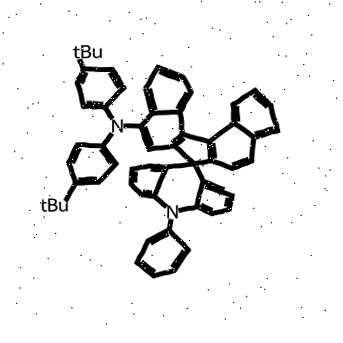 CC(C)(C)c1ccc(N(c2ccc(C(C)(C)C)cc2)c2cc3c(c4ccccc24)-c2c(ccc4ccccc24)C32c3ccccc3N(c3ccccc3)c3ccccc32)cc1